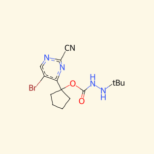 CC(C)(C)NNC(=O)OC1(c2nc(C#N)ncc2Br)CCCC1